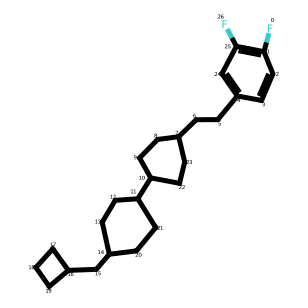 Fc1ccc(CCC2CCC(C3CCC(CC4CCC4)CC3)CC2)cc1F